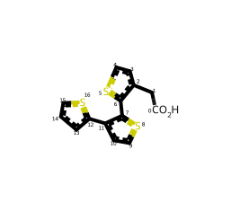 O=C(O)Cc1ccsc1-c1sccc1-c1cccs1